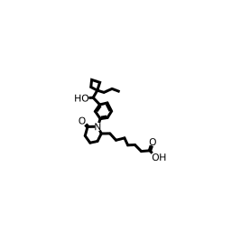 CCCC1(C(O)c2cccc(N3C(=O)CCCC3CCCCCCC(=O)O)c2)CCC1